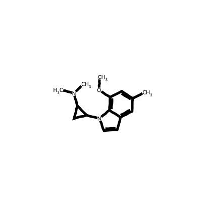 COc1cc(C)cc2ccn(C3CC3N(C)C)c12